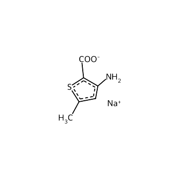 Cc1cc(N)c(C(=O)[O-])s1.[Na+]